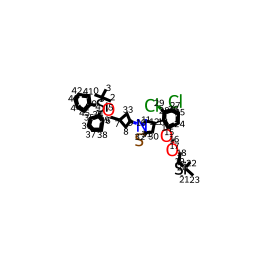 CC(C)(C)[Si](OCC1CC(N2C[C@@H](c3c(OCOCC[Si](C)(C)C)ccc(Cl)c3Cl)CC2=S)C1)(c1ccccc1)c1ccccc1